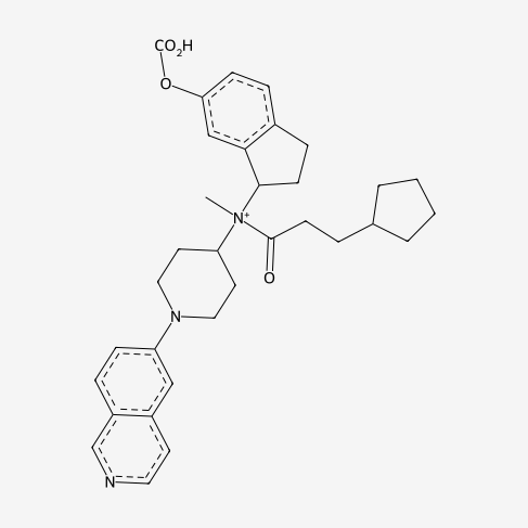 C[N+](C(=O)CCC1CCCC1)(C1CCN(c2ccc3cnccc3c2)CC1)C1CCc2ccc(OC(=O)O)cc21